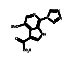 COc1cnc(-n2cnnn2)c2[nH]cc(C(=O)C(=O)O)c12